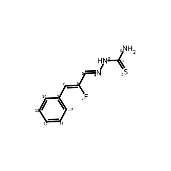 NC(=S)NN=CC(F)=Cc1ccccc1